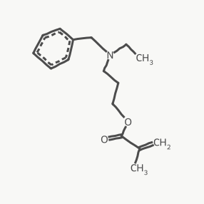 C=C(C)C(=O)OCCCN(CC)Cc1ccccc1